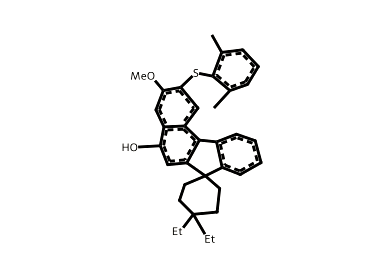 CCC1(CC)CCC2(CC1)c1ccccc1-c1c2cc(O)c2cc(OC)c(Sc3c(C)cccc3C)cc12